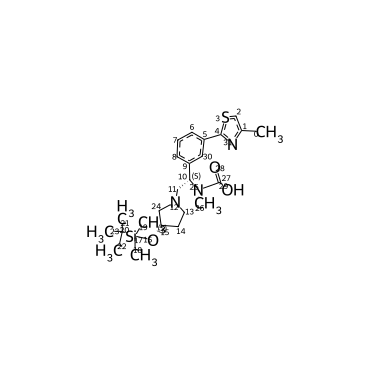 Cc1csc(-c2cccc([C@@H](CN3CC[C@H](O[Si](C)(C)C(C)(C)C)C3)N(C)C(=O)O)c2)n1